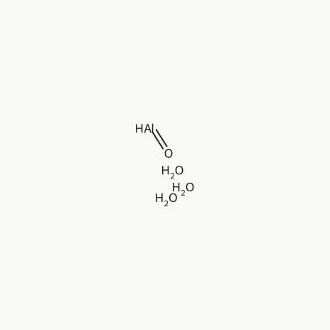 O.O.O.[O]=[AlH]